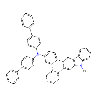 CCn1c2ccccc2c2cc3c4ccc(N(c5ccc(-c6ccccc6)cc5)c5ccc(-c6ccccc6)cc5)cc4c4ccccc4c3cc21